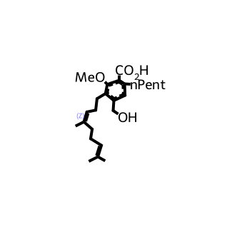 CCCCCc1cc(CO)c(CC/C=C(/C)CCC=C(C)C)c(OC)c1C(=O)O